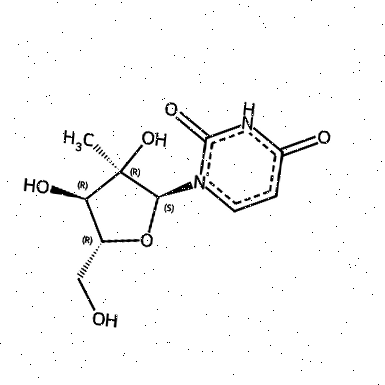 C[C@@]1(O)[C@H](O)[C@@H](CO)O[C@@H]1n1ccc(=O)[nH]c1=O